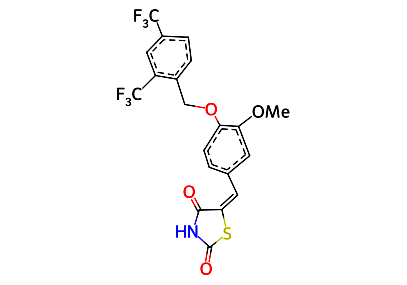 COc1cc(C=C2SC(=O)NC2=O)ccc1OCc1ccc(C(F)(F)F)cc1C(F)(F)F